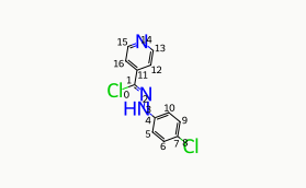 ClC(=NNc1ccc(Cl)cc1)c1ccncc1